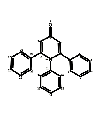 O=c1cc(-c2ccccc2)n(-c2ccccc2)c(-c2ccccc2)c1